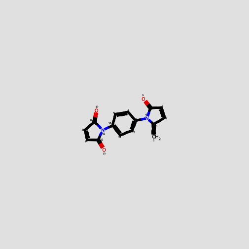 C=C1C=CC(=O)N1c1ccc(N2C(=O)C=CC2=O)cc1